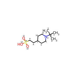 CC(C)(C)N1CCC(CCS(=O)(=O)O)CC1